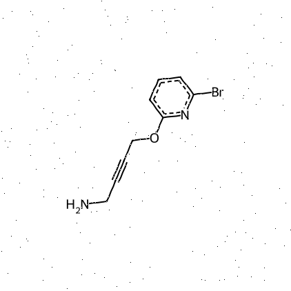 NCC#CCOc1cccc(Br)n1